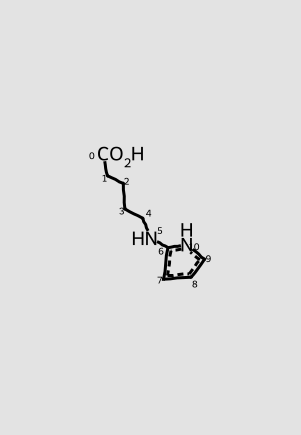 O=C(O)CCCCNc1ccc[nH]1